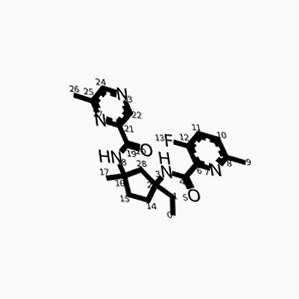 CCC1(NC(=O)c2nc(C)ccc2F)CCC(C)(NC(=O)c2cncc(C)n2)C1